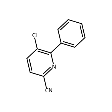 N#Cc1ccc(Cl)c(-c2ccccc2)n1